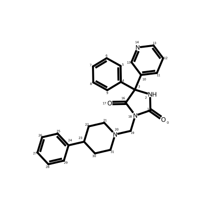 O=C1NC(c2ccccc2)(c2cccnc2)C(=O)N1CN1CCC(c2ccccc2)CC1